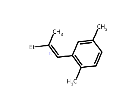 CC/C(C)=C/c1cc(C)ccc1C